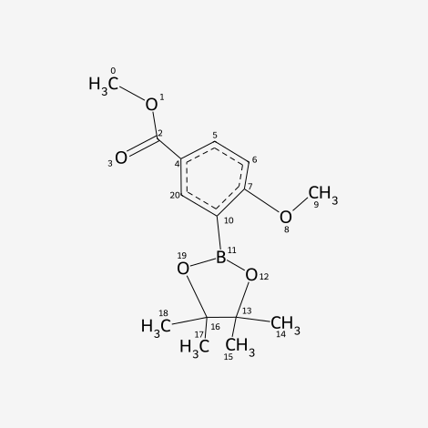 COC(=O)c1ccc(OC)c(B2OC(C)(C)C(C)(C)O2)c1